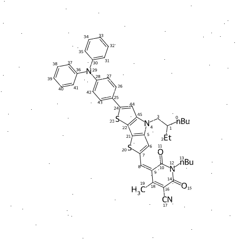 CCCCC(CC)Cn1c2cc(/C=C3\C(=O)N(CCCC)C(=O)C(C#N)=C3C)sc2c2sc(-c3ccc(N(c4ccccc4)c4ccccc4)cc3)cc21